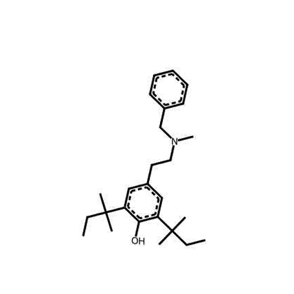 CCC(C)(C)c1cc(CCN(C)Cc2ccccc2)cc(C(C)(C)CC)c1O